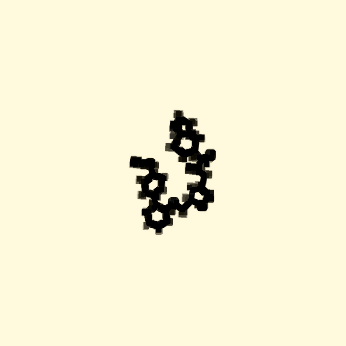 COc1ccc(-c2ccccc2OCC2CC(CNC(=O)c3ccc4nccn4c3)=NO2)cc1